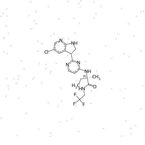 CC[C@@](C)(Nc1ccnc(C2CNc3ncc(Cl)cc32)n1)C(=O)NCC(F)(F)F